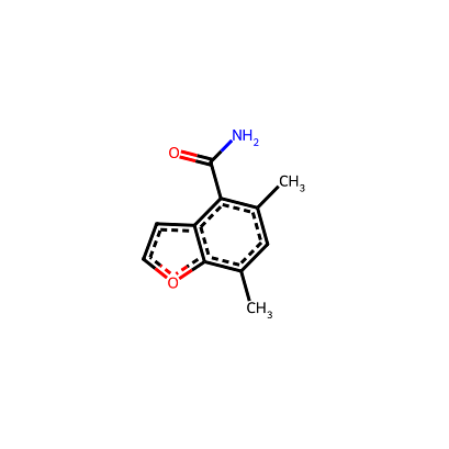 Cc1cc(C)c2occc2c1C(N)=O